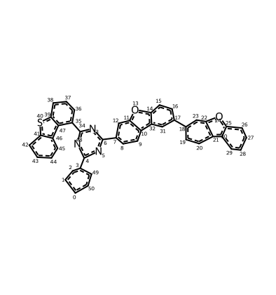 c1ccc(-c2nc(-c3ccc4c(c3)oc3ccc(-c5ccc6c(c5)oc5ccccc56)cc34)nc(-c3cccc4sc5ccccc5c34)n2)cc1